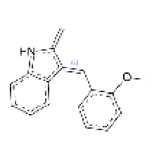 C=c1[nH]c2ccccc2/c1=C\c1ccccc1OC